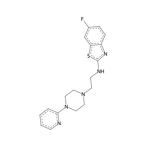 Fc1ccc2nc(NCCN3CCN(c4ccccn4)CC3)sc2c1